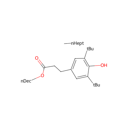 CCCCCCCC.CCCCCCCCCCOC(=O)CCc1cc(C(C)(C)C)c(O)c(C(C)(C)C)c1